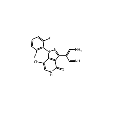 N=C/C(=C\N)c1nn(-c2c(F)cccc2F)c2c(Cl)c[nH]c(=O)c12